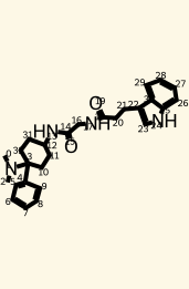 CN(C)C1(c2ccccc2)CCC(NC(=O)CNC(=O)CCc2c[nH]c3ccccc23)CC1